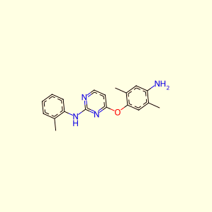 Cc1cc(Oc2ccnc(Nc3ccccc3C)n2)c(C)cc1N